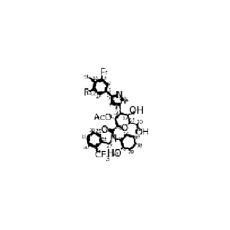 CC(=O)O[C@@H]1[C@@H](n2cc(-c3cc(F)c(C)c(F)c3)nn2)[C@@H](O)[C@@H](CO)O[C@H]1C(=O)N(Cc1ccccc1C(F)(F)F)[C@H]1CCCC[C@@H]1O